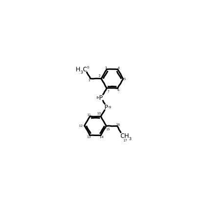 CCc1ccccc1[P][P]c1ccccc1CC